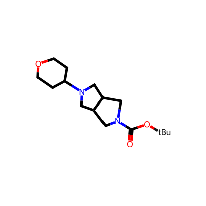 CC(C)(C)OC(=O)N1CC2CN(C3CCOCC3)CC2C1